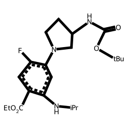 CCOC(=O)c1cc(F)c(N2CCC(NC(=O)OC(C)(C)C)C2)cc1NC(C)C